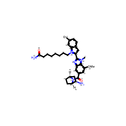 CCc1ccc2cc(-c3nc4cc(C(=O)N5[C@H]6CC[C@@H]5[C@H](N)C6)cc(OC)c4n3C)n(CCCCCCCC(N)=O)c2c1